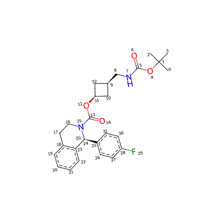 CC(C)(C)OC(=O)NC[C@H]1C[C@@H](OC(=O)N2CCc3ccccc3[C@@H]2c2ccc(F)cc2)C1